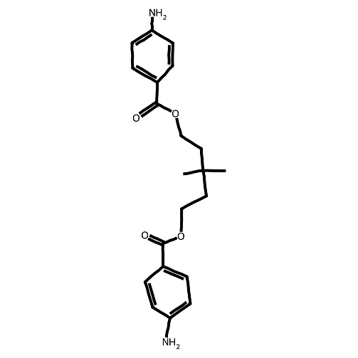 CC(C)(CCOC(=O)c1ccc(N)cc1)CCOC(=O)c1ccc(N)cc1